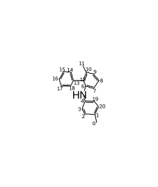 Cc1ccc(Nc2cccc(C)c2-c2ccccc2)cc1